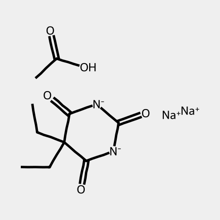 CC(=O)O.CCC1(CC)C(=O)[N-]C(=O)[N-]C1=O.[Na+].[Na+]